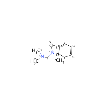 CN(C)CN(C)C1(C)C=CC=CC1